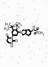 COc1c(N2Cc3ccc(NS(C)(=O)=O)cc3C2)cc(-n2c(=O)cc[nH]c2=O)cc1C(C)(C)C